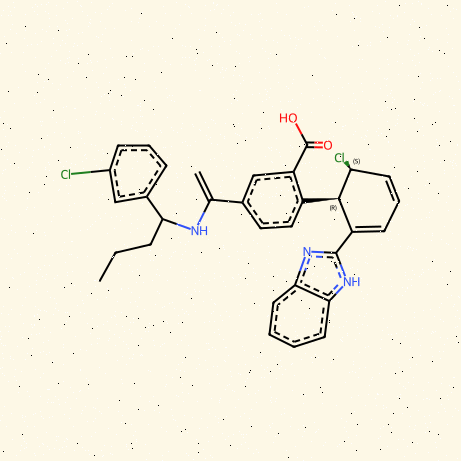 C=C(NC(CCC)c1cccc(Cl)c1)c1ccc([C@@H]2C(c3nc4ccccc4[nH]3)=CC=C[C@@H]2Cl)c(C(=O)O)c1